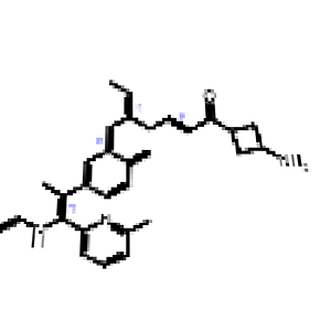 C=CN/C(=C(\C)c1ccc(=C)/c(=C\C(=C/C)C/C=C/C(=O)C2CC(N)C2)c1)c1cccc(C)n1